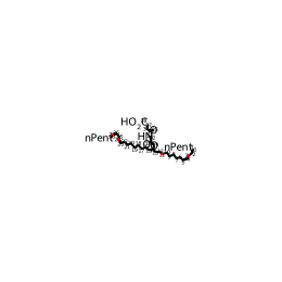 CCCCC/C=C\C/C=C\CCCCCCCCC(CCCCCCCC/C=C\C/C=C\CCCCC)OC(=O)CNC(=O)CCC(=O)O